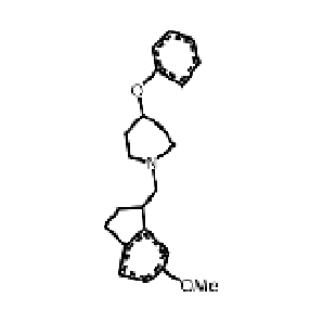 COc1ccc2c(c1)C(CN1CCC(Oc3ccccc3)CC1)CC2